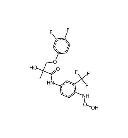 CC(O)(COc1ccc(F)c(F)c1)C(=O)Nc1ccc(NOO)c(C(F)(F)F)c1